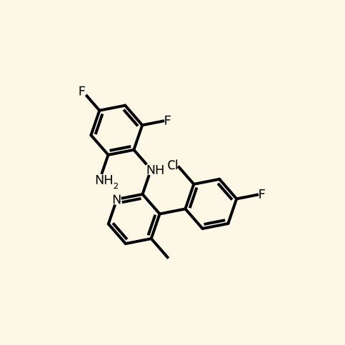 Cc1ccnc(Nc2c(N)cc(F)cc2F)c1-c1ccc(F)cc1Cl